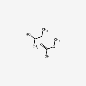 CCC(C)O.COC(=O)O